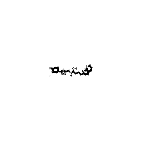 OC(CCCc1ccc2cccnc2n1)NCc1nnc(-c2ccc(F)c(C(F)(F)F)c2)s1